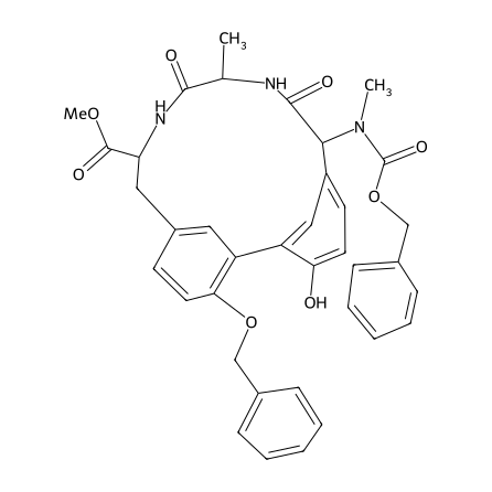 COC(=O)C1Cc2ccc(OCc3ccccc3)c(c2)-c2cc(ccc2O)C(N(C)C(=O)OCc2ccccc2)C(=O)NC(C)C(=O)N1